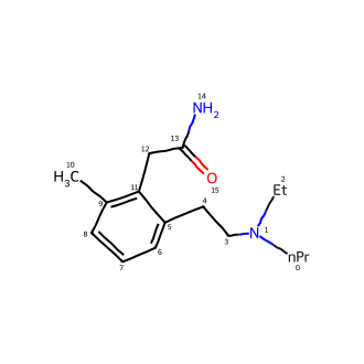 CCCN(CC)CCc1cccc(C)c1CC(N)=O